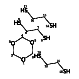 C1OCOCO1.SCCS.SCCS.SCCS